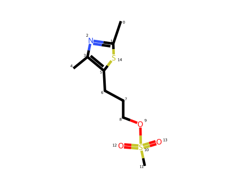 Cc1nc(C)c(CCCOS(C)(=O)=O)s1